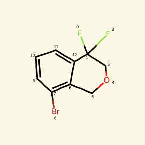 FC1(F)COCc2c(Br)cccc21